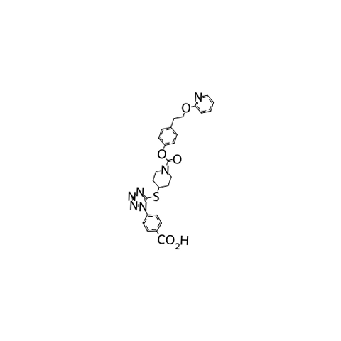 O=C(O)c1ccc(-n2nnnc2SC2CCN(C(=O)Oc3ccc(CCOc4ccccn4)cc3)CC2)cc1